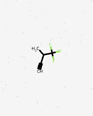 C#CC([CH2])C(F)(F)F